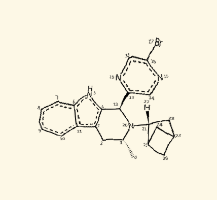 C[C@@H]1Cc2c([nH]c3ccccc23)[C@@H](c2cnc(Br)cn2)N1[C@@H]1CC2CC1C2